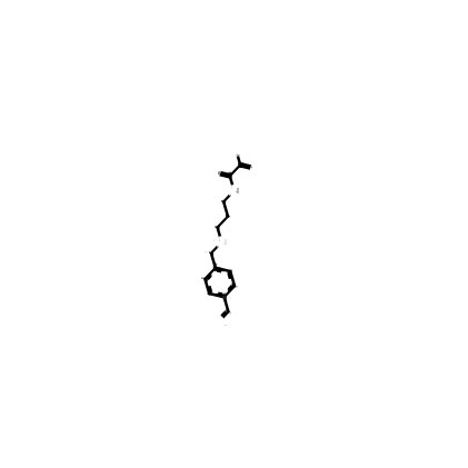 C=C(C)C(=O)NCCCNCc1ccc(C=O)cc1